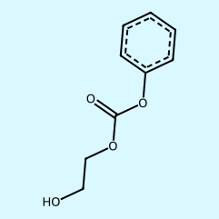 O=C(OCCO)Oc1ccccc1